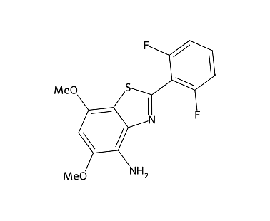 COc1cc(OC)c2sc(-c3c(F)cccc3F)nc2c1N